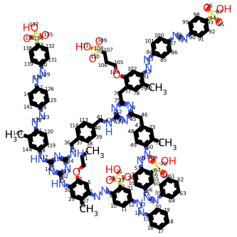 CCCOc1cc(N=Nc2ccc(N=Nc3ccccc3)cc2S(=O)(=O)O)c(C)cc1Nc1nc(NCc2ccc(CNc3nc(Cc4ccc(N=Nc5ccc(N=Nc6ccccc6)cc5S(=O)(=O)O)c(C)c4)nc(Cc4cc(C)c(N=Nc5ccc(N=Nc6ccc(S(=O)(=O)O)cc6)cc5)cc4OCCCS(=O)(=O)O)n3)cc2)nc(Nc2ccc(N=Nc3ccc(N=Nc4ccc(S(=O)(=O)O)cc4)cc3)c(C)c2)n1